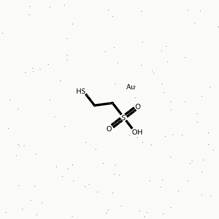 O=S(=O)(O)CCS.[Au]